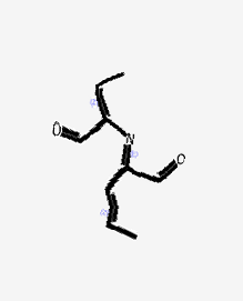 C\C=C/C(C=O)=N\C(C=O)=C/C